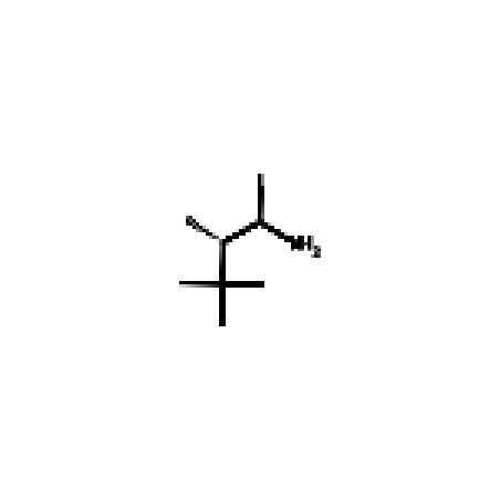 C[C@H](C(N)I)C(C)(C)C